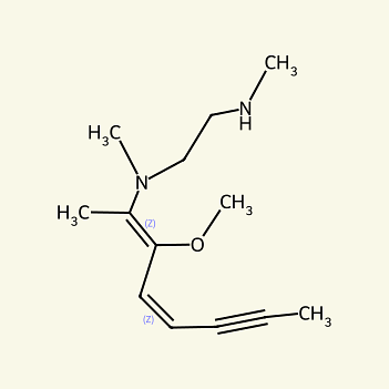 CC#C/C=C\C(OC)=C(/C)N(C)CCNC